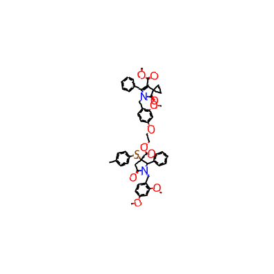 COC(=O)C1=C(c2ccccc2)N(Cc2ccc(OCCOC(=O)C3(Sc4ccc(C)cc4)CC(=O)N(Cc4ccc(OC)cc4OC)C3c3ccccc3)cc2OC)C(=O)C12CC2